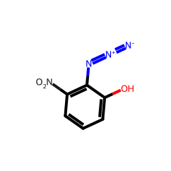 [N-]=[N+]=Nc1c(O)cccc1[N+](=O)[O-]